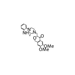 COc1cc2c(cc1OC)C(=O)C(CN1CCN(c3ccccc3N)CC1)OC2